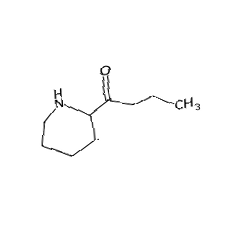 CCCC(=O)C1[CH]CCCN1